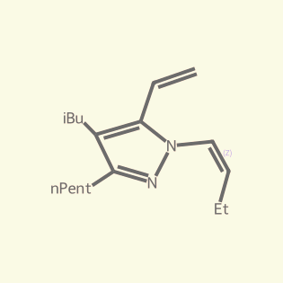 C=Cc1c(C(C)CC)c(CCCCC)nn1/C=C\CC